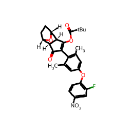 Cc1cc(Oc2ccc([N+](=O)[O-])cc2F)cc(C)c1C1=C(OC(=O)C(C)(C)C)[C@H]2[C@@H](C1=O)[C@@H]1CC[C@H]2O1